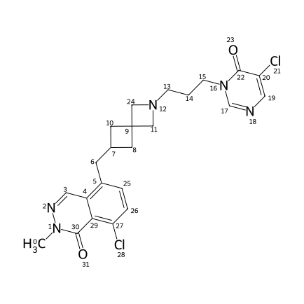 Cn1ncc2c(CC3CC4(C3)CN(CCCn3cncc(Cl)c3=O)C4)ccc(Cl)c2c1=O